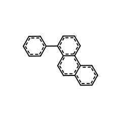 [c]1cc(-c2ccccc2)c2ccc3ccccc3c2c1